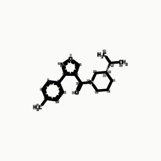 Cc1ccc(-c2nocc2C(=O)N2CCC[C@@H](C(C)C)C2)cc1